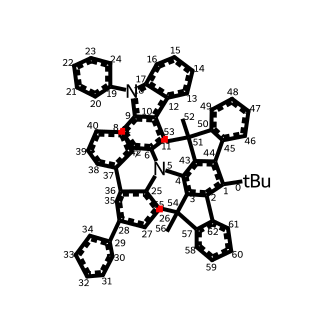 CC(C)(C)c1c2c(c(N(c3ccc4c(c3)c3ccccc3n4-c3ccccc3)c3ccc(-c4ccccc4)cc3-c3ccccc3)c3c1-c1ccccc1C3(C)C)C(C)(C)c1ccccc1-2